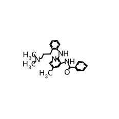 Cc1cnc(Nc2ccccc2CCCN(C)C)c(NC(=O)c2ccccc2)c1